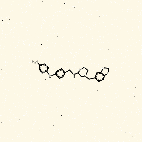 Nc1ccc(Oc2ccc(CNC3CN(Cc4ccc5c(c4)OCO5)CC[N]3)cc2)cc1